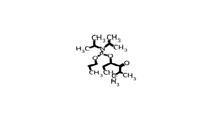 CCCOP(OC(CC)C(=O)C(C)C)N(C(C)C)C(C)C